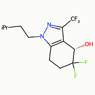 CC(C)CCn1nc(C(F)(F)F)c2c1CCC(F)(F)[C@H]2O